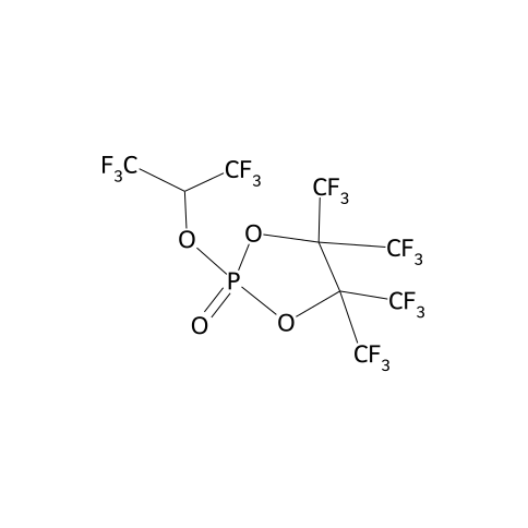 O=P1(OC(C(F)(F)F)C(F)(F)F)OC(C(F)(F)F)(C(F)(F)F)C(C(F)(F)F)(C(F)(F)F)O1